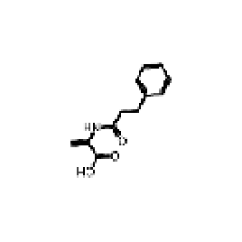 C=C(NC(=O)CCc1ccccc1)C(=O)O